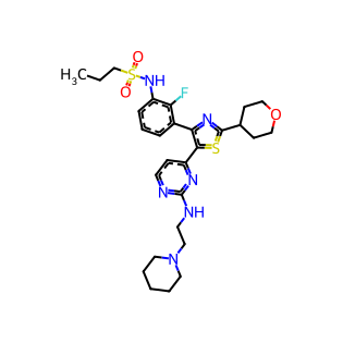 CCCS(=O)(=O)Nc1cccc(-c2nc(C3CCOCC3)sc2-c2ccnc(NCCN3CCCCC3)n2)c1F